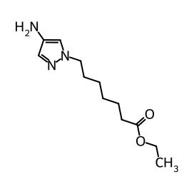 CCOC(=O)CCCCCCn1cc(N)cn1